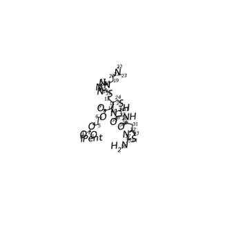 CCCC(C)OC(=O)OCCOC(=O)C1=C(CSc2nnnn2CCN(C)C)CS[C@H]2[C@H](NC(=O)Cc3csc(N)n3)C(=O)N12